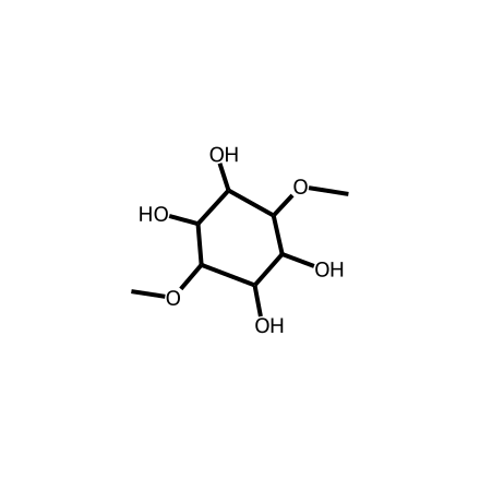 COC1C(O)C(O)C(OC)C(O)C1O